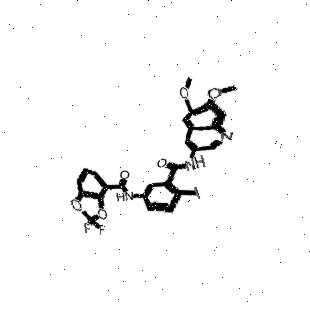 COc1cc2cc(NC(=O)c3cc(NC(=O)c4cccc5c4OC(F)(F)O5)ccc3I)cnc2cc1OC